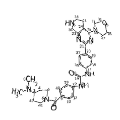 CN(C)C1CCN(C(=O)c2ccc(NC(=O)Nc3ccc(-c4nc5c(c(N6CCOCC6)n4)CCNC5)cc3)cc2)CC1